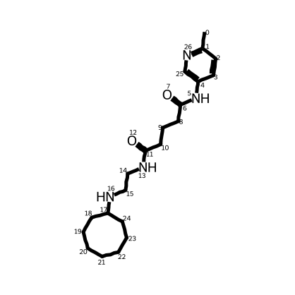 Cc1ccc(NC(=O)CCCC(=O)NCCNC2CCCCCCC2)cn1